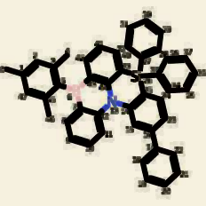 Cc1cc(C)c(B2c3ccccc3N3c4cc(-c5ccccc5)ccc4[Si](c4ccccc4)(c4ccccc4)c4cccc2c43)c(C)c1